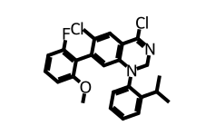 COc1cccc(F)c1-c1cc2c(cc1Cl)C(Cl)=NCN2c1ccccc1C(C)C